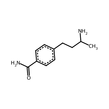 CC(N)CCc1ccc(C(N)=O)cc1